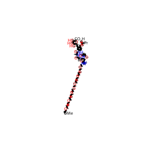 COCCOCCOCCOCCOCCOCCOCCOCCOCCOCCOCCOCCn1cc(CC(C(=O)N[C@H](C(=O)N[C@@H](C)C(=O)Nc2ccc(COC(=O)C(C)C)c(CC[C@@H]3O[C@H](C(=O)O)[C@@H](O)[C@H](O)[C@H]3O)c2)C(C)C)N2C(=O)C=CC2=O)nn1